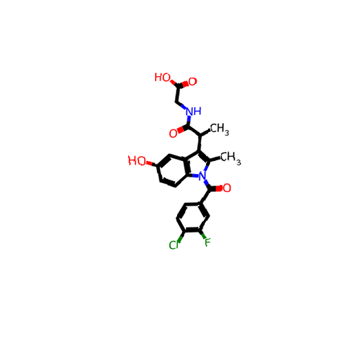 Cc1c(C(C)C(=O)NCC(=O)O)c2cc(O)ccc2n1C(=O)c1ccc(Cl)c(F)c1